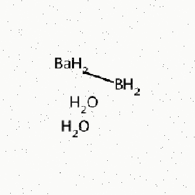 BC.O.O.[BaH2]